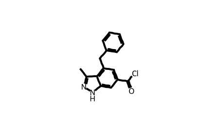 Cc1n[nH]c2cc(C(=O)Cl)cc(Cc3ccccc3)c12